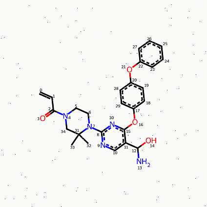 C=CC(=O)N1CCN(c2ncc(C(N)O)c(Oc3ccc(Oc4ccccc4)cc3)n2)C(C)(C)C1